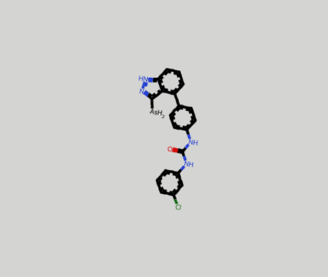 O=C(Nc1ccc(-c2cccc3[nH]nc([AsH2])c23)cc1)Nc1cccc(Cl)c1